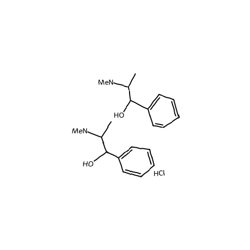 CNC(C)C(O)c1ccccc1.CNC(C)C(O)c1ccccc1.Cl